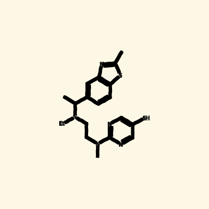 CCN(CCN(C)c1ncc(S)cn1)C(C)c1ccc2sc(C)nc2c1